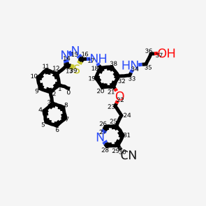 Cc1c(-c2ccccc2)cccc1-c1nnc(Nc2ccc(OCCc3cncc(C#N)c3)c(CNCCO)c2)s1